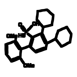 COc1cccc(OC)c1-c1ccc(C2CCCCC2)c(C2CCCCC2)c1P(=O)(O)O